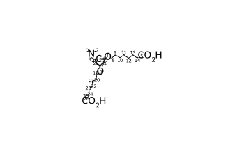 CN(C)Cc1cc(OCCCCCCCC(=O)O)cc(OCCCCCCCC(=O)O)c1